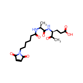 CC(=O)[C@H](CCC(=O)O)NC(=O)[C@H](C)NC(=O)CCCCCN1C(=O)C=CC1=O